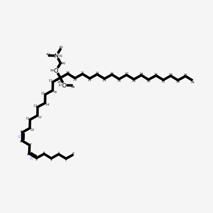 CCCCC/C=C\C/C=C\CCCCCCCCC(CCCCCCCCCCCCCCCCCC)(OC)OCN(C)C